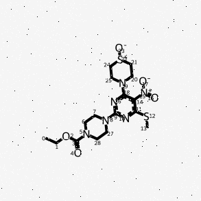 CCOC(=O)N1CCN(c2nc(SC)c([N+](=O)[O-])c(N3CC[S+]([O-])CC3)n2)CC1